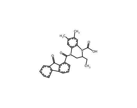 CCC1CN(C(=O)c2cccc3c2C(=O)c2ccccc2-3)c2cc(C)c(C)cc2N1C(=O)O